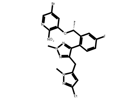 CCc1cc(Cc2nn(C)nc2-c2ccc(F)cc2[C@@H](C)Oc2cc(Br)cnc2[N+](=O)[O-])n(C)n1